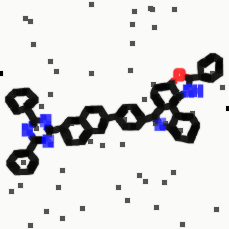 c1ccc(-c2nc(-c3ccccc3)nc(-c3ccc4cc(-c5ccc(-c6nc7ccccc7c7c8c(ccc67)OC(c6ccccc6)N8)cc5)ccc4c3)n2)cc1